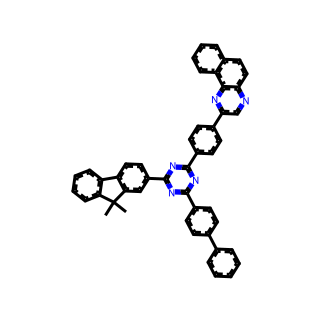 CC1(C)c2ccccc2-c2ccc(-c3nc(-c4ccc(-c5ccccc5)cc4)nc(-c4ccc(-c5cnc6ccc7ccccc7c6n5)cc4)n3)cc21